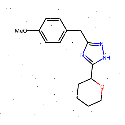 COc1ccc(Cc2n[nH]c(C3CCCCO3)n2)cc1